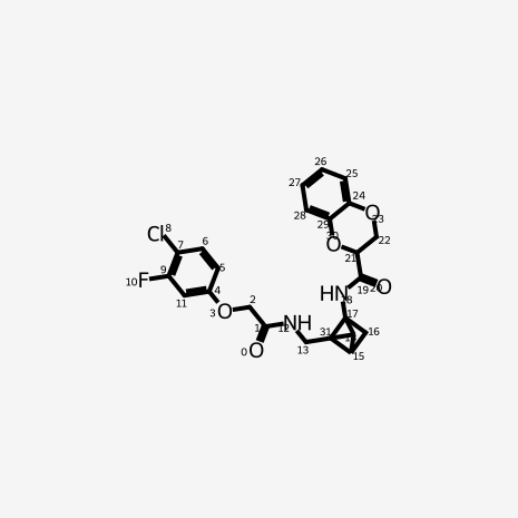 O=C(COc1ccc(Cl)c(F)c1)NCC1C2CC1(NC(=O)C1COc3ccccc3O1)C2